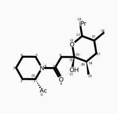 CC(=O)[C@@H]1CCCCN1C(=O)C[C@]1(O)OC(C(C)C)C(C)C[C@H]1C